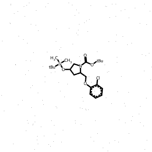 CC(C)(C)OC(=O)N1CC(O[Si](C)(C)C(C)(C)C)CC1COc1ccccc1Cl